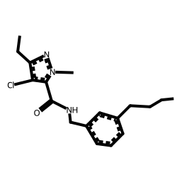 CCCCc1cccc(CNC(=O)c2c(Cl)c(CC)nn2C)c1